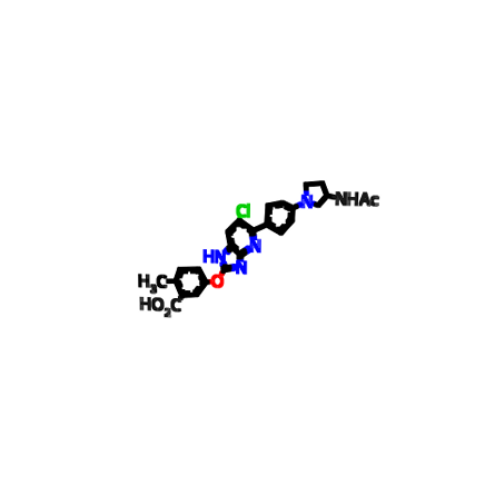 CC(=O)NC1CCN(c2ccc(-c3nc4nc(Oc5ccc(C)c(C(=O)O)c5)[nH]c4cc3Cl)cc2)C1